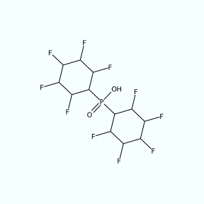 O=P(O)(C1C(F)C(F)C(F)C(F)C1F)C1C(F)C(F)C(F)C(F)C1F